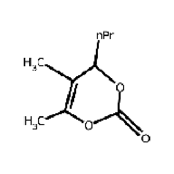 CCCC1OC(=O)OC(C)=C1C